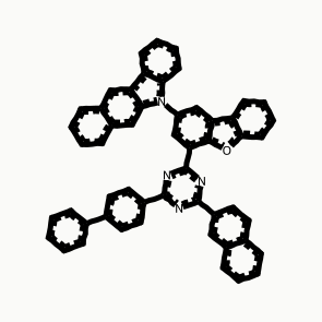 c1ccc(-c2ccc(-c3nc(-c4ccc5ccccc5c4)nc(-c4cc(-n5c6ccccc6c6cc7ccccc7cc65)cc5c4oc4ccccc45)n3)cc2)cc1